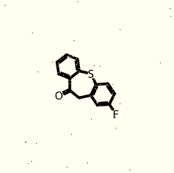 O=C1Cc2cc(F)ccc2Sc2ccccc21